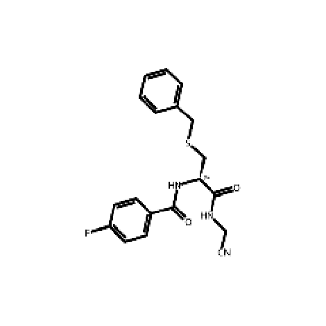 N#CCNC(=O)[C@H](CSCc1ccccc1)NC(=O)c1ccc(F)cc1